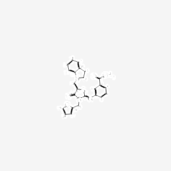 CC(=O)c1cccc(/N=C2\S/C(=C\N3CCc4ccccc43)C(=O)N2Cc2ccco2)c1